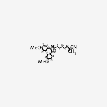 COc1ccc(-c2nc(CCCCCC(C)C#N)oc2-c2ccc(OC)cc2)cc1